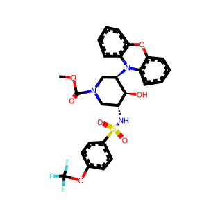 COC(=O)N1C[C@@H](N2c3ccccc3Oc3ccccc32)[C@@H](O)[C@H](NS(=O)(=O)c2ccc(OC(F)(F)F)cc2)C1